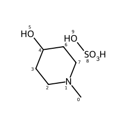 CN1CCC(O)CC1.O=S(=O)(O)O